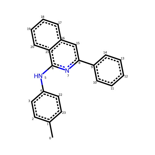 Cc1ccc(Nc2nc(-c3ccccc3)cc3ccccc23)cc1